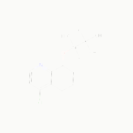 CC(C)(C)[Si](C)(C)O[C@@H]1CCCc2c(Cl)ccnc21